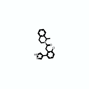 CC1c2ccccc2CCN1C(=O)Cc1c(Cl)cccc1-c1cn[nH]c1